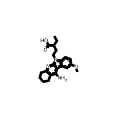 CCC(CCn1c2ccc(OC)cc2c2c(N)c3c(nc21)CCCC3)C(=O)O